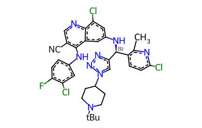 Cc1nc(Cl)ccc1[C@H](Nc1cc(Cl)c2ncc(C#N)c(Nc3ccc(F)c(Cl)c3)c2c1)c1cn(C2CCN(C(C)(C)C)CC2)nn1